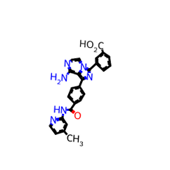 Cc1ccnc(NC(=O)c2ccc(-c3nc(-c4cccc(C(=O)O)c4)n4ccnc(N)c34)cc2)c1